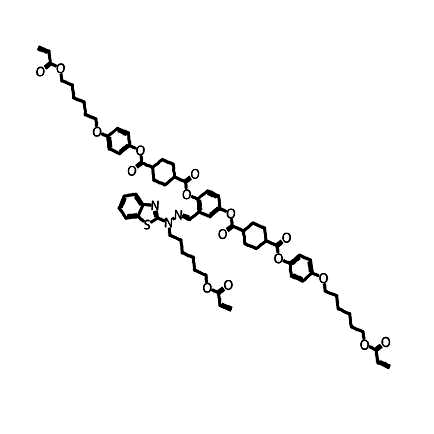 C=CC(=O)OCCCCCCOc1ccc(OC(=O)C2CCC(C(=O)Oc3ccc(OC(=O)C4CCC(C(=O)Oc5ccc(OCCCCCCOC(=O)C=C)cc5)CC4)c(/C=N/N(CCCCCCOC(=O)C=C)c4nc5ccccc5s4)c3)CC2)cc1